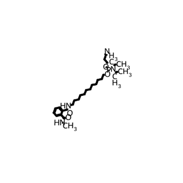 CNC(=O)c1ccccc1C(=O)NCCCCCCCCCCCCOP(OCCC#N)N(C(C)C)C(C)C